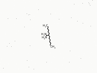 CCCCCCCC(CCCCCC)C(N)N